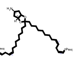 CCCCC/C=C\C/C=C\CCCCCCCCC1(CCCCCCCC/C=C\C/C=C\CCCCC)OC2C[C@H](N)C[C@H]2O1